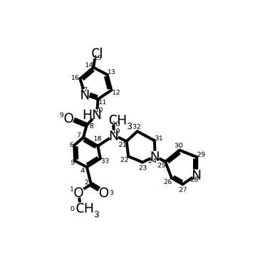 COC(=O)c1ccc(C(=O)Nc2ccc(Cl)cn2)c(N(C)C2CCN(c3ccncc3)CC2)c1